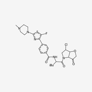 CCC(C)C(NC(=O)c1ccc(-c2nc(N3CCN(C)CC3)sc2F)cc1)C(=O)N1CC(Cl)C2OCC(=O)C21